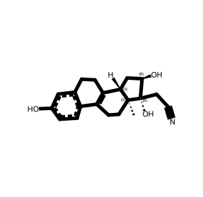 C[C@]12CCC3=C(CCc4cc(O)ccc43)[C@@H]1C[C@@H](O)[C@@]2(O)CC#N